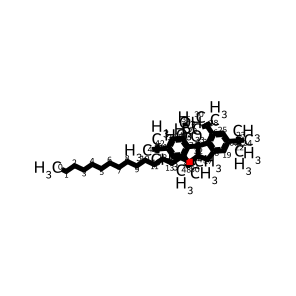 CCCCCCCCCCCCCCCCC1Cc2cc(C(C)(C)C)cc(C(C)(C)C)c2C1(OP(O)O)c1ccc(C(C)(C)C)cc1C(C)(C)C